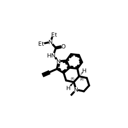 C#Cc1c2c3c(cccc3n1NC(=O)N(CC)CC)[C@H]1CCCN(C)[C@@H]1C2